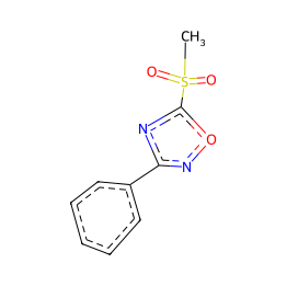 CS(=O)(=O)c1nc(-c2ccccc2)no1